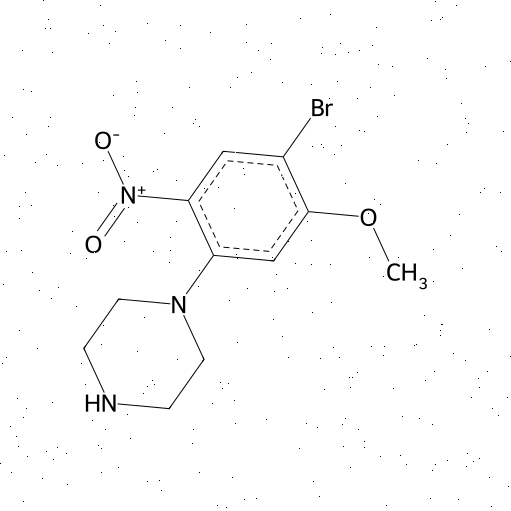 COc1cc(N2CCNCC2)c([N+](=O)[O-])cc1Br